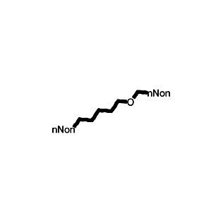 CCCCCCCCCCCCCCOCCCCCCCCCC